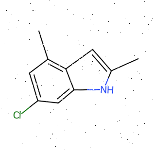 Cc1cc2c(C)cc(Cl)cc2[nH]1